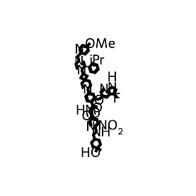 COc1ccc(CN2CCN(C3CC4(CCN(c5ccc(C(=O)NS(=O)(=O)c6cnc(NCC7CCC(C)(O)CC7)c([N+](=O)[O-])c6)c(Oc6cnc7[nH]cc(F)c7c6)c5)CC4)C3)[C@H](c3ccccc3C(C)C)C2)nc1